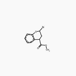 COC(=O)C1CC(Br)Oc2ccccc21